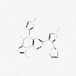 CC[C@@H]1c2nnc(C)n2-c2cnc(-c3cn(C)nc3-c3nccs3)nc2N1c1ccn(C)n1